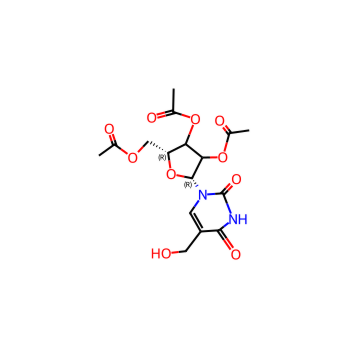 CC(=O)OC[C@H]1O[C@@H](n2cc(CO)c(=O)[nH]c2=O)C(OC(C)=O)C1OC(C)=O